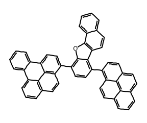 c1ccc2c(c1)ccc1c2oc2c(-c3ccc4c5ccccc5c5cccc6ccc3c4c65)ccc(-c3ccc4ccc5cccc6ccc3c4c56)c21